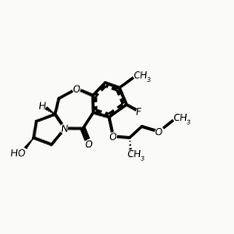 COC[C@H](C)Oc1c(F)c(C)cc2c1C(=O)N1C[C@@H](O)C[C@@H]1CO2